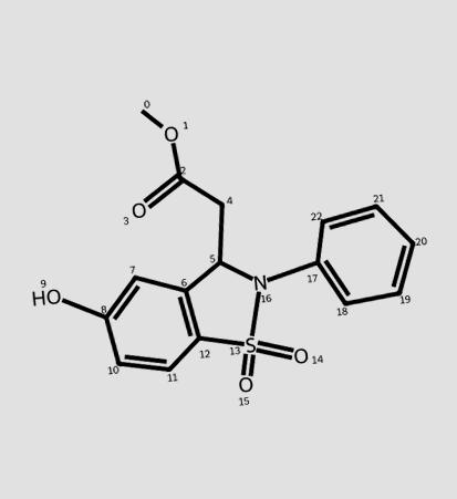 COC(=O)CC1c2cc(O)ccc2S(=O)(=O)N1c1ccccc1